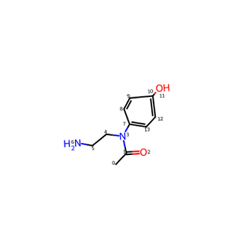 CC(=O)N(CCN)c1ccc(O)cc1